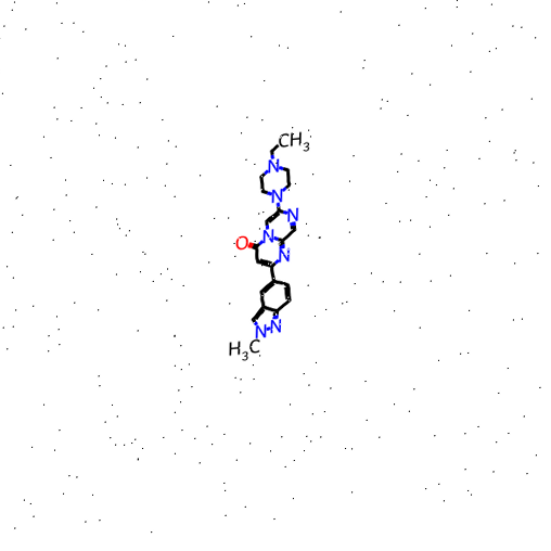 CCN1CCN(c2cn3c(=O)cc(-c4ccc5nn(C)cc5c4)nc3cn2)CC1